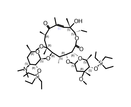 CC[C@@H]1OC(=O)[C@H](C)[C@H](O[C@@H]2C[C@@](C)(OC)[C@@H](O[Si](CC)(CC)CC)[C@H](C)O2)[C@H](C)[C@@H](O[C@@H]2O[C@H](C)C[C@H](N(C)C)[C@H]2O[Si](CC)(CC)CC)[C@](C)(OC)C[C@@H](C)C(=O)/C(C)=C/[C@]1(C)O